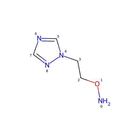 NOCCn1cncn1